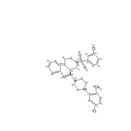 Cc1ccc(Cl)cc1N1CCN(C(=O)[C@@H]2CN(S(=O)(=O)c3cccc(Cl)c3)CC[C@H]2c2ccccc2)CC1